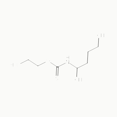 CCCCC(C)NC(=S)OCCC